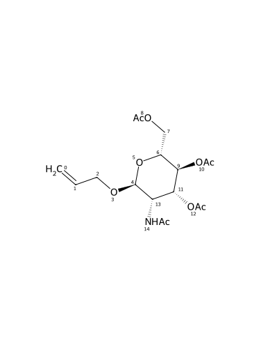 C=CCO[C@H]1O[C@H](COC(C)=O)[C@@H](OC(C)=O)[C@H](OC(C)=O)[C@@H]1NC(C)=O